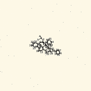 C=C(CC(C)C)[n+]1c(-c2c(CCC)cc(C)c3c2sc2cc(C)c(C)cc23)n(CC2(C)C=C(c3ccccc3)C=C2C)c2ccccc21